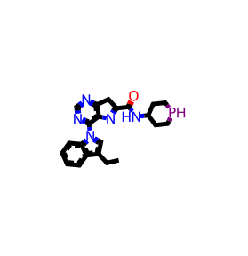 CCc1cn(-c2ncnc3c2N=C(C(=O)NC2CCPCC2)C3)c2ccccc12